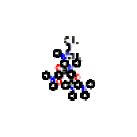 C=C/C=C\C=C(/C)N(c1ccccc1)c1cc2c3c(c1)N(c1ccccc1)c1cc4c(cc1B3c1cc3c(cc1O2)N(c1ccccc1)c1ccccc1O3)B1c2ccccc2N(c2ccccc2)c2cc(N(c3ccccc3)c3ccccc3)cc(c21)O4